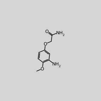 COc1ccc(OCC(N)=O)cc1N